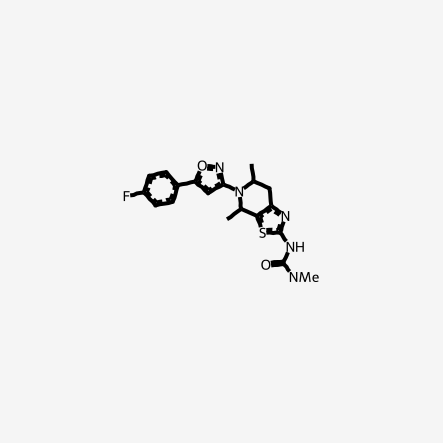 CNC(=O)Nc1nc2c(s1)C(C)N(c1cc(-c3ccc(F)cc3)on1)C(C)C2